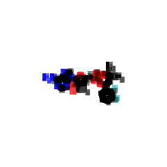 CC1(C)C[C@@H](c2cccc(F)c2F)O[P@@](=O)(OC[C@@H]2C[C@@](C)(O)[C@H](n3cnc4c(N)ncnc43)O2)O1